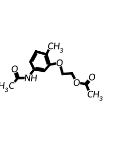 CC(=O)Nc1ccc(C)c(OCCOC(C)=O)c1